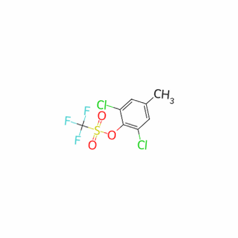 Cc1cc(Cl)c(OS(=O)(=O)C(F)(F)F)c(Cl)c1